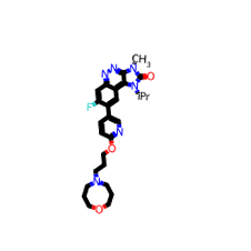 CC(C)n1c(=O)n(C)c2nnc3cc(F)c(-c4ccc(OCCCN5CCCOCCC5)nc4)cc3c21